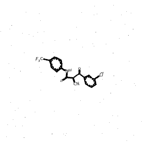 N#CC(C(=O)Nc1ccc(C(F)(F)F)cc1)C(=O)c1cccc(Cl)c1